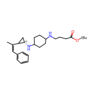 CC(=Cc1ccccc1)C1C[C@@H]1NC1CCC(NCCCC(=O)OC(C)(C)C)CC1